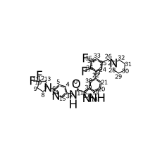 O=C(Nc1ccc(N2CCC(F)(F)C2)nc1)c1n[nH]c2ccc(-c3cc(CN4CCCCC4)cc(F)c3F)cc12